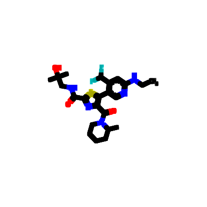 CC1CCCCN1C(=O)c1nc(C(=O)NCC(C)(C)O)sc1-c1cnc(NCC(F)(F)F)cc1C(F)F